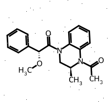 CO[C@@H](C(=O)N1C[C@H](C)N(C(C)=O)c2ccccc21)c1ccccc1